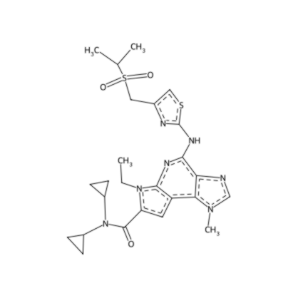 CCn1c(C(=O)N(C2CC2)C2CC2)cc2c3c(ncn3C)c(Nc3nc(CS(=O)(=O)C(C)C)cs3)nc21